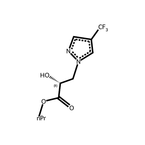 CCCOC(=O)[C@H](O)Cn1cc(C(F)(F)F)cn1